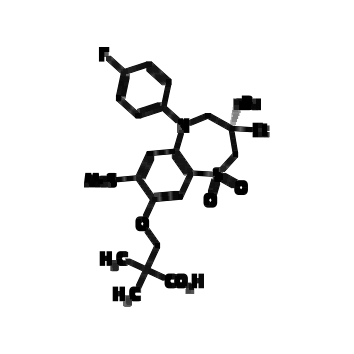 CCCC[C@@]1(CC)CN(c2ccc(F)cc2)c2cc(SC)c(OCC(C)(C)C(=O)O)cc2S(=O)(=O)C1